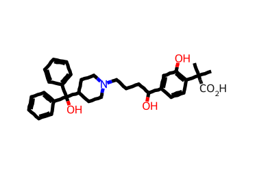 CC(C)(C(=O)O)c1ccc(C(O)CCCN2CCC(C(O)(c3ccccc3)c3ccccc3)CC2)cc1O